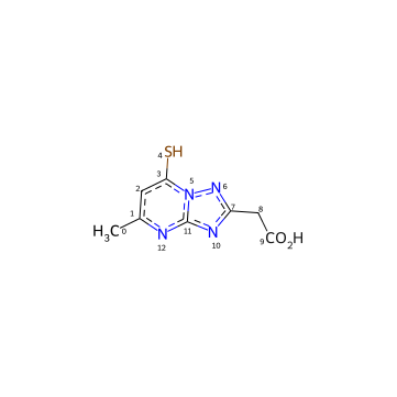 Cc1cc(S)n2nc(CC(=O)O)nc2n1